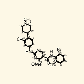 COc1nc(Nc2ccc(C3CCN(C)CC3)c(Cl)c2)ncc1C(=O)Nc1c(Cl)cccc1Br